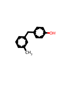 Cc1cccc(Cc2ccc(O)cc2)c1